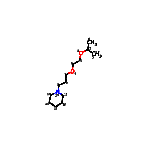 CC(C)OCCOCCCN1CCCCC1